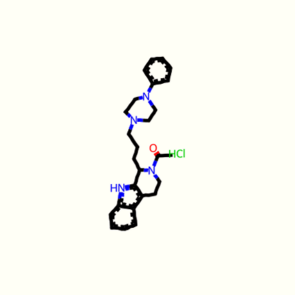 CC(=O)N1CCc2c([nH]c3ccccc23)C1CCCN1CCN(c2ccccc2)CC1.Cl